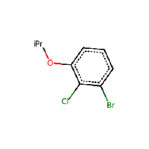 CC(C)Oc1cccc(Br)c1Cl